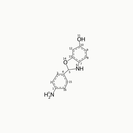 Nc1ccc(C2Nc3ccc(O)cc3O2)cc1